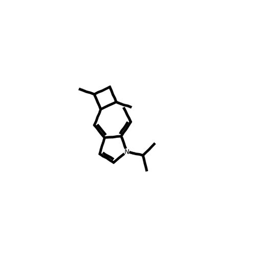 C/C=c1\c(=C/C2C(C)CC2C)ccn1C(C)C